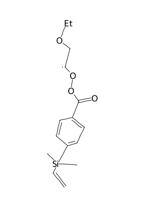 C=C[Si](C)(C)c1ccc(C(=O)OO[CH]COCC)cc1